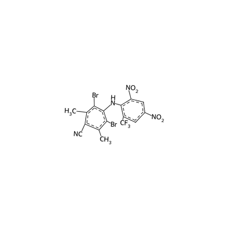 Cc1c(Br)c(Nc2c([N+](=O)[O-])cc([N+](=O)[O-])cc2C(F)(F)F)c(Br)c(C)c1C#N